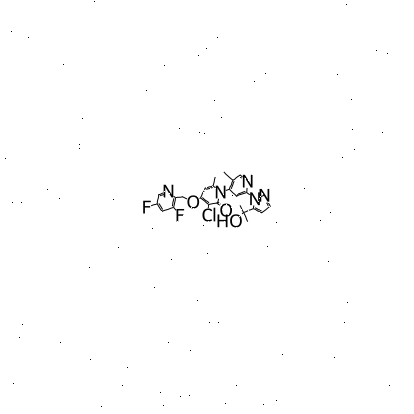 Cc1cnc(-n2nccc2C(C)(C)O)cc1-n1c(C)cc(OCc2ncc(F)cc2F)c(Cl)c1=O